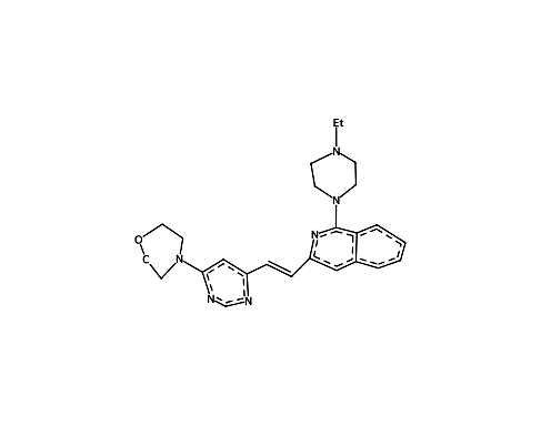 CCN1CCN(c2nc(C=Cc3cc(N4CCOCC4)ncn3)cc3ccccc23)CC1